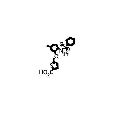 Cc1ccc(N(C(C)C)S(=O)(=O)c2ccccc2)c(OCc2ccc(C(=O)O)s2)c1